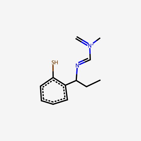 C=[N+](C)C=NC(CC)c1ccccc1S